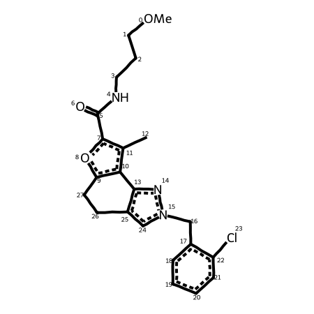 COCCCNC(=O)c1oc2c(c1C)-c1nn(Cc3ccccc3Cl)cc1CC2